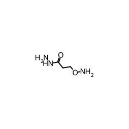 NNC(=O)CCON